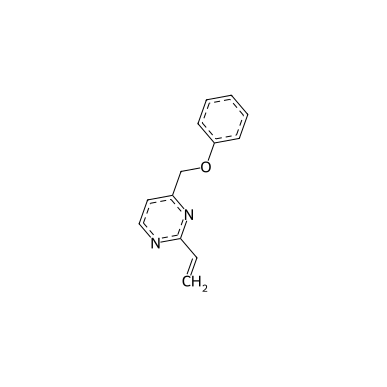 C=Cc1nccc(COc2ccccc2)n1